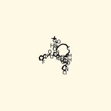 CC(C)(C)OC(=O)N[C@H]1CCCCCCC[C@@H]2C[C@@]2(C(=O)NS(=O)(=O)c2ccc(Cl)nc2)NC(=O)[C@@H]2C[C@@H](OC(=O)N3Cc4cccc(F)c4C3)CN2C1=O